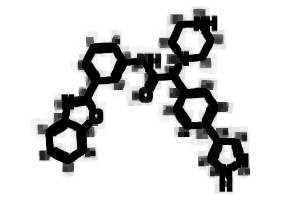 O=C(Nc1cccc(-c2nc3ccccc3o2)c1)C(c1ccc(-c2cn[nH]c2)cc1)N1CCNCC1